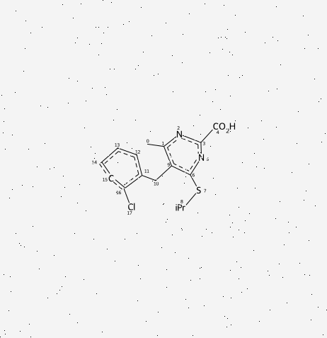 Cc1nc(C(=O)O)nc(SC(C)C)c1Cc1ccccc1Cl